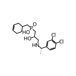 C[C@H](NC[C@@H](O)CP(=O)(O)CC1CC=CCC1)c1ccc(Cl)c(Cl)c1